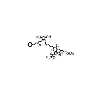 CCN(C(=O)CCC/C=C\C[C@@H]1[C@@H](CC[C@@H](O)CCc2ccccc2)[C@H](O)C[C@@H]1O)[C@H]1CC(CCCOC)S(=O)(=O)c2sc(S(N)(=O)=O)cc21